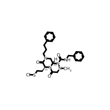 CN1CC(=O)N2[C@@H](CCSCl)C(=O)N(CCCc3ccccc3)C[C@@H]2N1C(=O)NCc1ccccc1